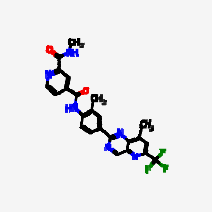 CNC(=O)c1cc(C(=O)Nc2ccc(-c3ncc4nc(C(F)(F)F)cc(C)c4n3)cc2C)ccn1